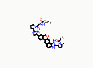 CC[C@H](C)CC(=O)N1C(c2nc3ccc4cc5c(cc4c3[nH]2)OCc2cc(-c3cnc(C4CCCN4C(=O)CNC(=O)OC)[nH]3)ccc2-5)CC[C@@H]1C